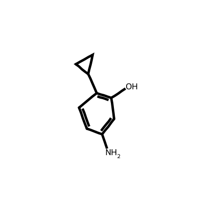 Nc1ccc(C2CC2)c(O)c1